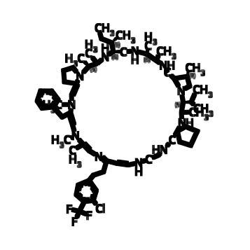 CC[C@H](C)[C@H]1CN[C@@H](C)C(C)NCC2[C@H](C)CN2[C@@H](C(C)C)C(C)NC2(CCCC2)CNCCNC=CC(CCc2ccc(C(F)(F)F)c(Cl)c2)=NC=C(C)N(C)C=C(Cc2ccccc2)N(C)C=C2CCCN2[C@@H](C)C(C)N1